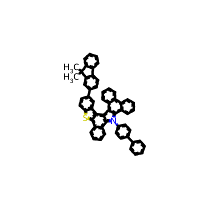 CC1(C)c2ccccc2-c2ccc(-c3ccc4sc5c6ccccc6c6c(c5c4c3)c3c4ccccc4c4ccccc4c3n6-c3ccc(-c4ccccc4)cc3)cc21